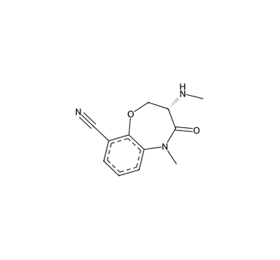 CN[C@H]1COc2c(C#N)cccc2N(C)C1=O